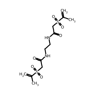 C=C(C)S(=O)(=O)CC(=O)NCCNC(=O)CS(=O)(=O)C(=C)C